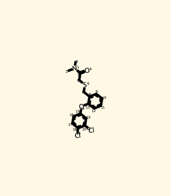 CN(C)C(=O)CSCc1ccccc1Oc1ccc(Cl)c(Cl)c1